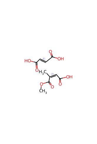 COC(=O)/C(C)=C\C(=O)O.O=C(O)/C=C/C(=O)O